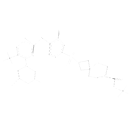 Cc1cc(S(=O)(=O)C2CC3(CCN(C(=O)OC(C)(C)C)CC3)C2)ccc1Nc1ncc(C(F)(F)F)c(N2CC(C)CC(O)C2)n1